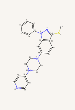 CSc1nn(-c2ccccc2)c2cc(N3CCN(c4ccncc4)CC3)ccc12